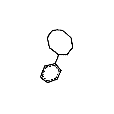 [c]1cccc(C2[CH]CCCCCC2)c1